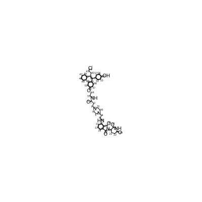 O=C(CCN1CCN(CCNc2cccc3c2C(=O)N(C2CCC(=O)NC2=O)C3=O)CC1)NCCOc1ccc(C(=C(CCCl)c2ccccc2)c2ccc(O)cc2)cc1